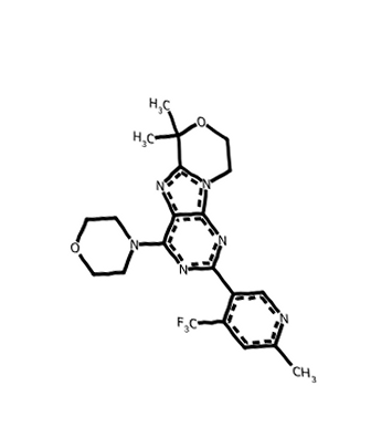 Cc1cc(C(F)(F)F)c(-c2nc(N3CCOCC3)c3nc4n(c3n2)CCOC4(C)C)cn1